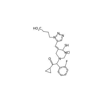 Cl.O=C(O)CCCn1nncc1C=C1CN(C(C(=O)C2CC2)c2ccccc2F)CCC1S